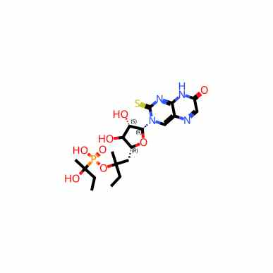 CCC(C)(C[C@H]1O[C@@H](n2cc3ncc(=O)[nH]c3nc2=S)[C@@H](O)C1O)OP(=O)(O)C(C)(O)CC